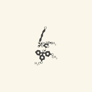 BB[C@H]1CC(OP(C)(=O)OC#CC#CC#CCl)[C@@H](COC(c2ccccc2)(c2ccc(OC)cc2)c2ccc(OC)cc2)O1